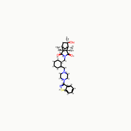 CC[C@@]1(O)C[C@H]2C[C@@H]1[C@@H]1C(=O)N(C[C@@H]3CCCCC3CN3CCN(c4nsc5ccccc45)CC3)C(=O)[C@H]21